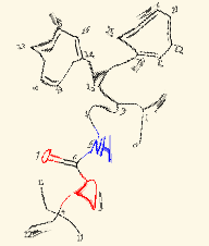 CC(C)C(CNC(=O)OC(C)(C)C)C(c1ccccc1)c1ccccc1